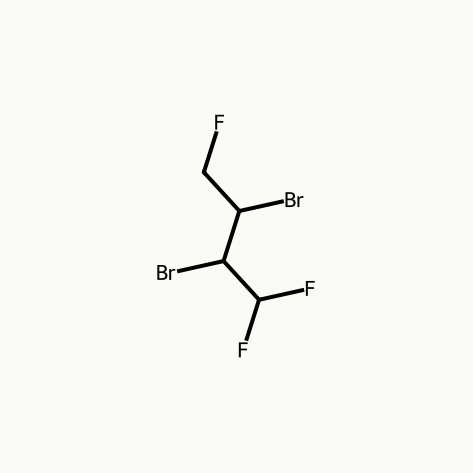 FCC(Br)C(Br)C(F)F